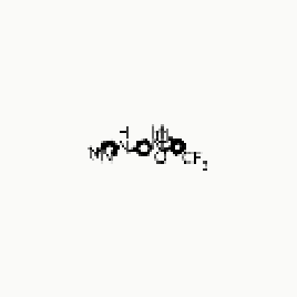 CN(C)c1ccc(NCC2CCC(NC(=O)c3cc(C(F)(F)F)ccc3Cl)CC2)cn1